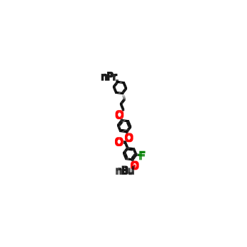 CCCCOc1ccc(C(=O)Oc2ccc(OCCC[C@H]3CC[C@H](CCC)CC3)cc2)cc1F